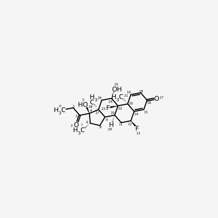 CCC(=O)[C@@]1(O)[C@@H](C)CC2[C@@H]3C[C@H](F)C4=CC(=O)C=C[C@]4(C)[C@@]3(F)[C@@H](O)C[C@@]21C